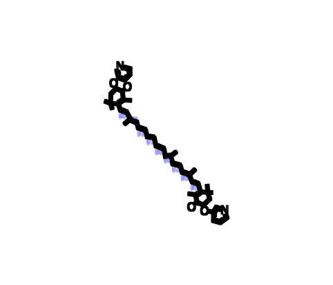 CC1=C(/C=C/C(C)=C/C=C/C=C/C=C/C=C(C)/C=C/C=C(C)/C=C/C2=C(C)C(=O)C(Oc3cccnc3)CC2(C)C)C(C)(C)CC(Oc2cccnc2)C1=O